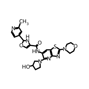 Cc1cc(C2NC(C(=O)Nc3cc4sc(N5CCOCC5)nc4nc3N3CCC(O)C3)=CO2)ccn1